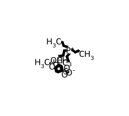 CC(O)Oc1ccc(S(=O)(=O)[O-])cc1.CCCC[P+](CCCC)(CCCC)CCCC